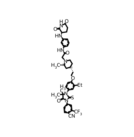 CCc1cc(N2C(=S)N(c3ccc(C#N)c(C(F)(F)F)c3)C(=O)C2(C)C)ccc1OCC[C@H]1CCN(CC(=O)Nc2cccc(NC3CCC(=O)NC3=O)c2)[C@H](C)C1